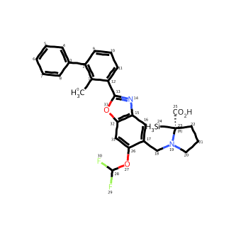 Cc1c(-c2ccccc2)cccc1-c1nc2cc(CN3CCC[C@@]3([SiH3])C(=O)O)c(OC(F)F)cc2o1